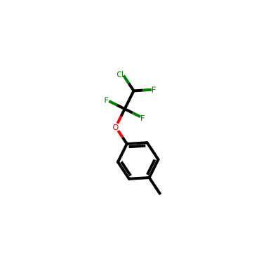 Cc1ccc(OC(F)(F)C(F)Cl)cc1